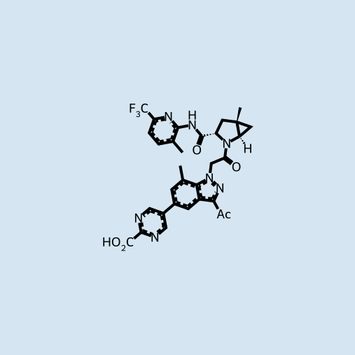 CC(=O)c1nn(CC(=O)N2[C@H](C(=O)Nc3nc(C(F)(F)F)ccc3C)C[C@]3(C)C[C@@H]23)c2c(C)cc(-c3cnc(C(=O)O)nc3)cc12